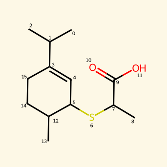 CC(C)C1=CC(SC(C)C(=O)O)C(C)CC1